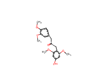 COc1ccc(CC(=O)Cc2c(OC)cc(O)cc2OC)cc1OC